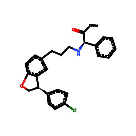 CNC(=O)[C@H](NCCCc1ccc2c(c1)[C@H](c1ccc(Cl)cc1)CO2)c1ccccc1